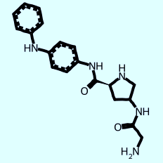 NCC(=O)NC1CN[C@H](C(=O)Nc2ccc(Nc3ccccc3)cc2)C1